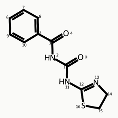 O=C(NC(=O)c1ccccc1)NC1=NCCS1